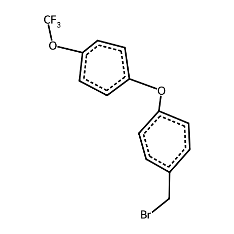 FC(F)(F)Oc1ccc(Oc2ccc(CBr)cc2)cc1